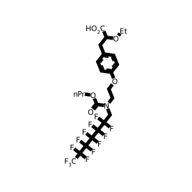 CCCOC(=O)N(CCOc1ccc(CC(OCC)C(=O)O)cc1)CC(F)(F)C(F)(F)C(F)(F)C(F)(F)C(F)(F)C(F)(F)F